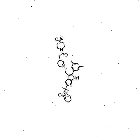 Cc1cc(C)cc(-c2[nH]c3sc(C(C)(C)CC4C5CCC4C(=O)N5)cc3c2CCN2CCC(CC(=O)N3CCS(=O)(=O)CC3)C2)c1